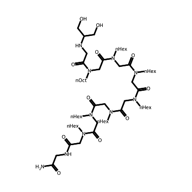 CCCCCCCCN(CC(=O)N(CCCCCC)CC(=O)N(CCCCCC)CC(=O)N(CCCCCC)CC(=O)N(CCCCCC)CC(=O)N(CCCCCC)CC(=O)N(CCCCCC)CC(=O)NCC(N)=O)C(=O)CNC(CO)CO